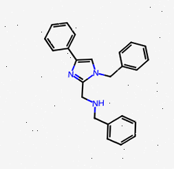 c1ccc(CNCc2nc(-c3ccccc3)cn2Cc2ccccc2)cc1